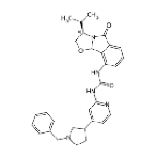 CC(C)[C@@H]1COC2c3c(NC(=O)Nc4cc(C5CCN(Cc6ccccc6)C5)ccn4)cccc3C(=O)N21